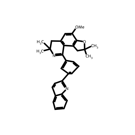 COc1cc2c(c3c1OC(C)(C)C3)C(c1cccc(-c3ccc4ccccc4n3)c1)=NC(C)(C)C2